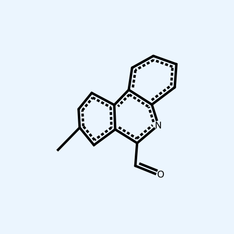 Cc1ccc2c(c1)c(C=O)nc1ccccc12